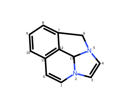 C1=CN2C=CN3Cc4cccc1c4C23